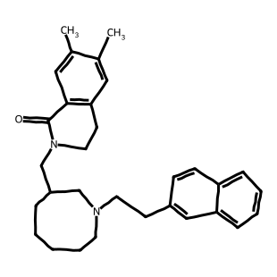 Cc1cc2c(cc1C)C(=O)N(CC1CCCCCN(CCc3ccc4ccccc4c3)C1)CC2